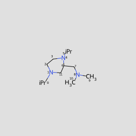 CC(C)N1CCN(C(C)C)C(CN(C)C)C1